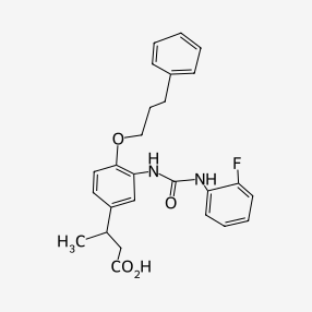 CC(CC(=O)O)c1ccc(OCCCc2ccccc2)c(NC(=O)Nc2ccccc2F)c1